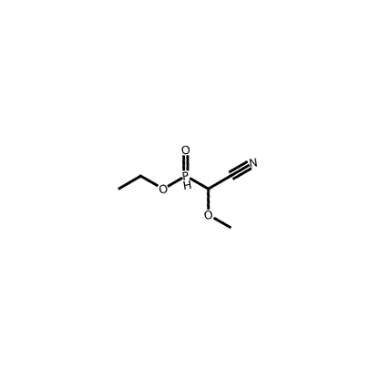 CCO[PH](=O)C(C#N)OC